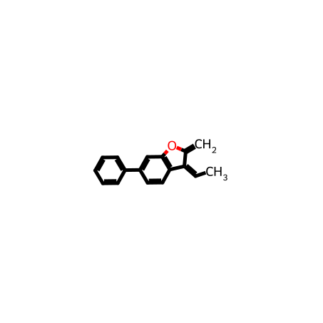 C=c1oc2cc(-c3ccccc3)ccc2/c1=C/C